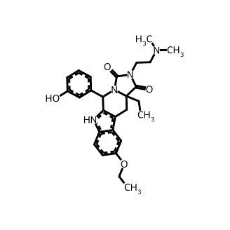 CCOc1ccc2[nH]c3c(c2c1)CC1(CC)C(=O)N(CCN(C)C)C(=O)N1C3c1cccc(O)c1